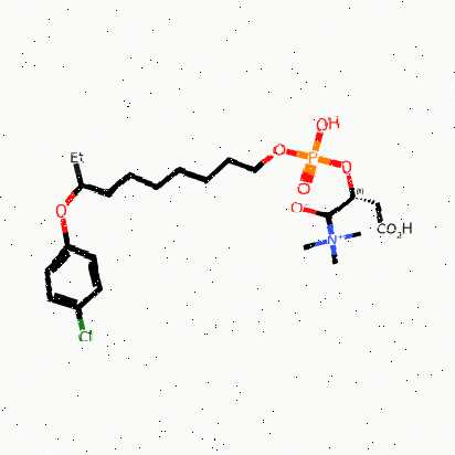 CCC(CCCCCCCOP(=O)(O)O[C@H](CC(=O)O)C([O-])[N+](C)(C)C)Oc1ccc(Cl)cc1